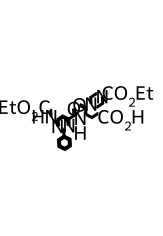 CCOC(=O)CNc1cc(C(=O)NC(CCC(=O)O)C(=O)N2CCN(C(=O)OCC)CC2)nc(-c2ccccc2)n1